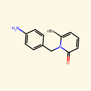 CCCCc1cccc(=O)n1Cc1ccc(N)cc1